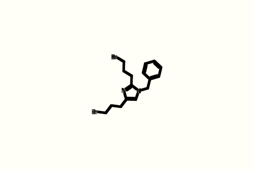 BrCCCc1cn(Cc2ccccc2)c(CCCBr)n1